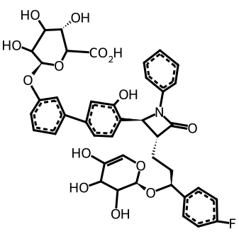 O=C(O)C1O[C@@H](Oc2cccc(-c3ccc([C@@H]4[C@@H](CC[C@H](O[C@@H]5OC=C(O)C(O)C5O)c5ccc(F)cc5)C(=O)N4c4ccccc4)c(O)c3)c2)C(O)C(O)[C@@H]1O